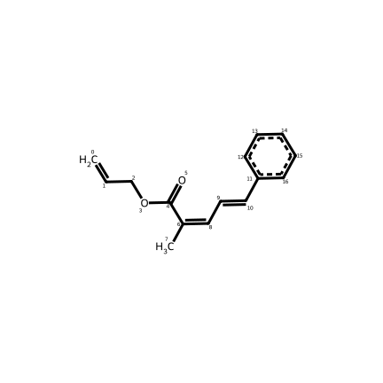 C=CCOC(=O)C(C)=CC=Cc1ccccc1